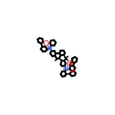 Cc1c2c3c(cccc3c3cc(N(c4ccccc4)c4cccc5c4oc4ccccc45)ccc13)C(C)(C)c1cc(N(c3ccccc3-c3ccccc3)c3cccc4c3oc3ccccc34)ccc1-2